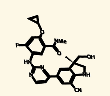 CNC(=O)c1cc(Nc2nccc(-c3cc(C#N)c4c(c3)[C@@](C)(CO)CN4)n2)c(F)cc1OC1CC1